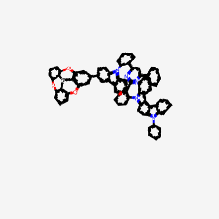 c1ccc(-c2cc(-c3ccccc3-n3c4ccccc4c4cc(-c5cc6c7c(c5)Oc5cccc8c5B7c5c(cccc5O6)O8)ccc43)nc(-c3ccccc3-n3c4ccccc4c4c5c6ccccc6n(-c6ccccc6)c5ccc43)n2)cc1